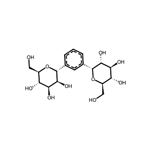 OC[C@H]1O[C@H](c2cccc([C@H]3O[C@H](CO)[C@@H](O)[C@H](O)[C@@H]3O)c2)[C@H](O)[C@@H](O)[C@@H]1O